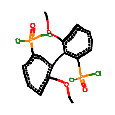 COc1cccc(P(=O)(Cl)Cl)c1-c1c(OC)cccc1P(=O)(Cl)Cl